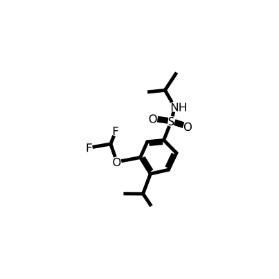 CC(C)NS(=O)(=O)c1ccc(C(C)C)c(OC(F)F)c1